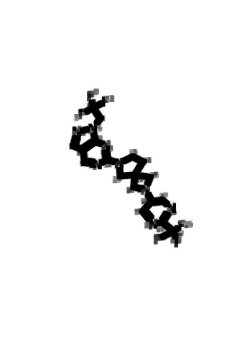 FC(F)(F)Cn1ncc2cnc(N3CCC4(CN(c5cnc(C(F)(F)F)nc5)C4)C3)nc21